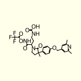 Cc1cc(COc2ccc(C3(C)CCN(C(CCNC(=O)O)C(=O)NOC(=O)C(F)(F)F)C3=O)cc2)cc(C)n1